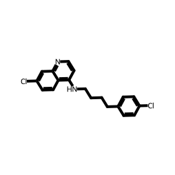 Clc1ccc(CCCCNc2ccnc3cc(Cl)ccc23)cc1